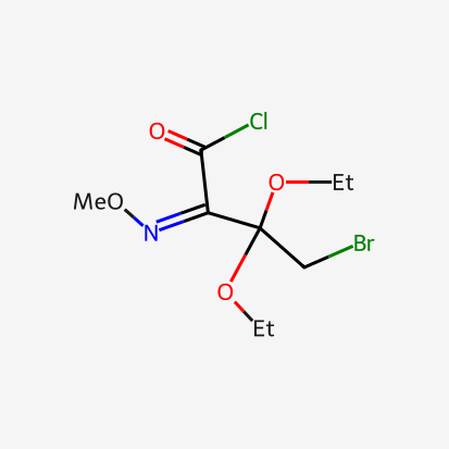 CCOC(CBr)(OCC)C(=NOC)C(=O)Cl